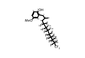 COc1ccc(O)c(CC(C)CC(F)(F)C(F)(F)C(F)(F)C(F)(F)C(F)(F)C(F)(F)C(F)(F)C(F)(F)F)c1